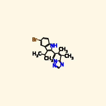 Cc1c(-c2[nH]c3ccc(Br)cc3c2C(C)C)cn2ncnc2c1C